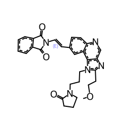 COCCc1nc2cnc3ccc(/C=C/N4C(=O)c5ccccc5C4=O)cc3c2n1CCCN1CCCC1=O